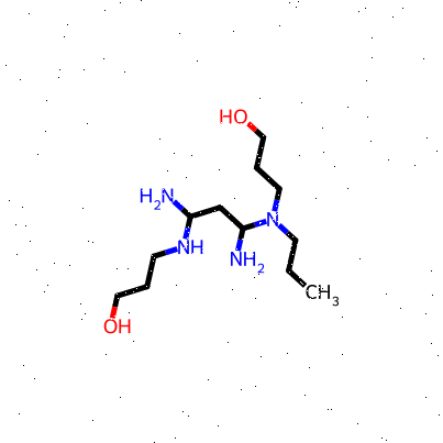 CCCN(CCCO)C(N)CC(N)NCCCO